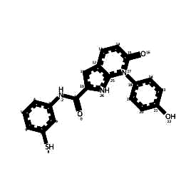 O=C(Nc1cccc(S)c1)c1cc2ccc(=O)n(-c3ccc(O)cc3)c2[nH]1